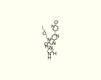 CCCOCCn1c(=O)c(N2C[C@H]3C[C@@H]2CN3)nc2cnc(-c3ccc(OC)nc3)cc21